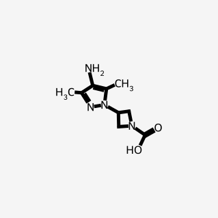 Cc1nn(C2CN(C(=O)O)C2)c(C)c1N